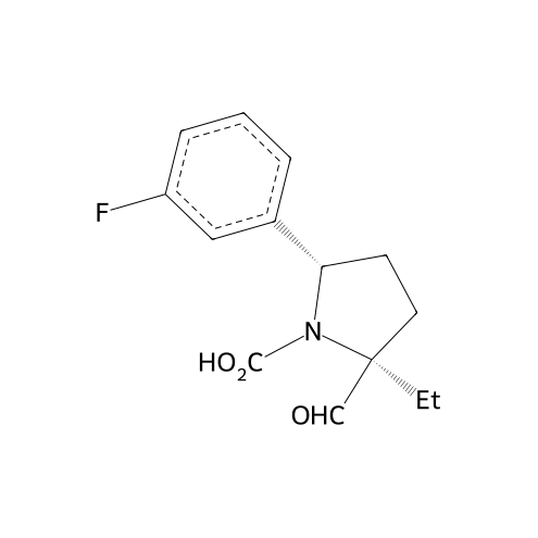 CC[C@@]1(C=O)CC[C@@H](c2cccc(F)c2)N1C(=O)O